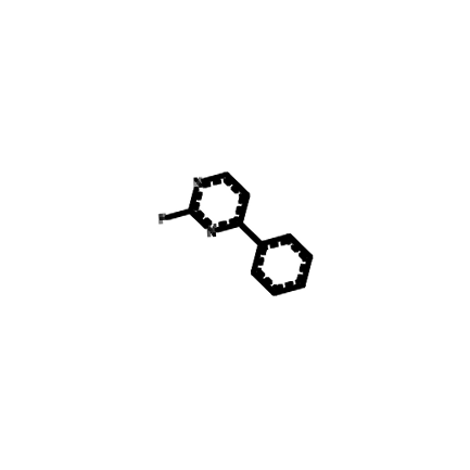 Fc1nccc(-c2ccccc2)n1